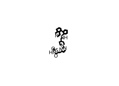 O=C1NC(=O)C(=Cc2ccnc(N3CCC(CNCc4ccccc4-c4cccc5cnccc45)CC3)n2)S1